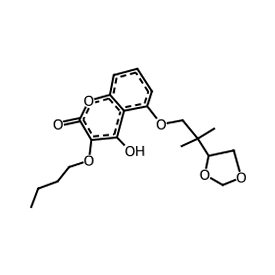 CCCCOc1c(O)c2c(OCC(C)(C)C3COCO3)cccc2oc1=O